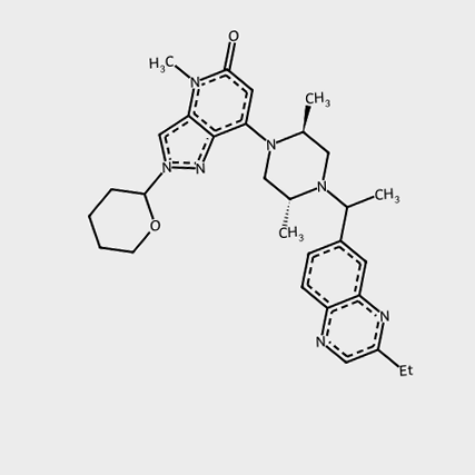 CCc1cnc2ccc(C(C)N3C[C@H](C)N(c4cc(=O)n(C)c5cn(C6CCCCO6)nc45)C[C@H]3C)cc2n1